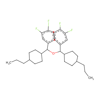 CCCC1CCC(C(OC(c2ccc(F)c(F)c2)C2CCC(CCC)CC2)c2ccc(F)c(F)c2)CC1